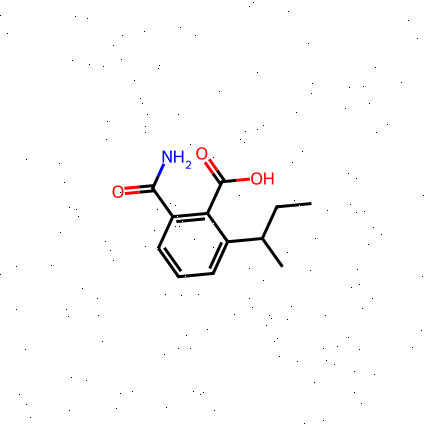 CCC(C)c1cccc(C(N)=O)c1C(=O)O